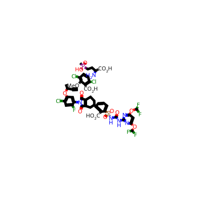 C#CC(C)Oc1cc(N2C(=O)C3=C(CCCC3)C2=O)c(F)cc1Cl.COc1c(Cl)ccc(Cl)c1C(=O)O.CP(=O)(O)CCC(N)C(=O)O.O=C(Nc1nc(OC(F)F)cc(OC(F)F)n1)NS(=O)(=O)c1ccccc1C(=O)O